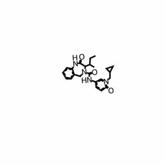 CCC(C)C1C(=O)Nc2ccccc2CN1C(=O)Nc1ccc(=O)n(CC2CC2)c1